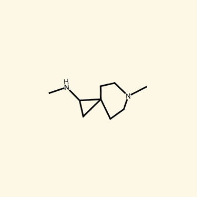 CNC1CC12CCN(C)CC2